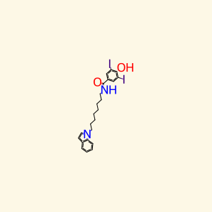 O=C(NCCCCCCCCn1ccc2ccccc21)c1cc(I)c(O)c(I)c1